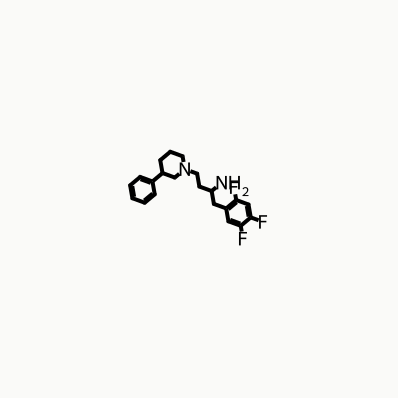 NC(CCN1CCCC(c2ccccc2)C1)Cc1cc(F)c(F)cc1F